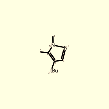 Cc1c(C(C)(C)C)cnn1C